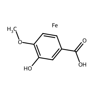 COc1ccc(C(=O)O)cc1O.[Fe]